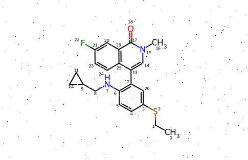 CCSc1ccc(NCC2CC2)c(-c2cn(C)c(=O)c3cc(F)ccc23)c1